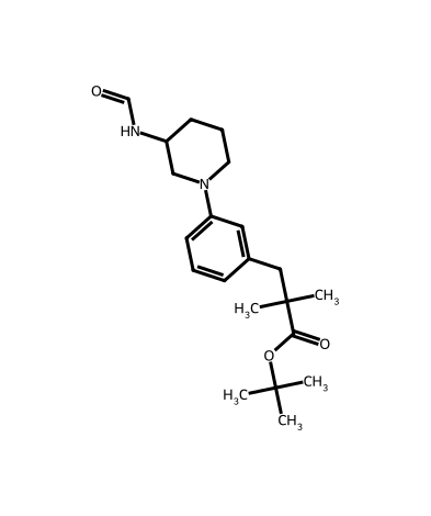 CC(C)(C)OC(=O)C(C)(C)Cc1cccc(N2CCCC(NC=O)C2)c1